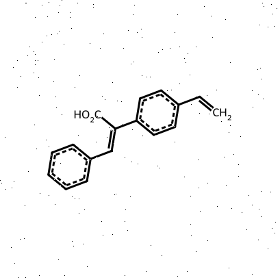 C=Cc1ccc(C(=Cc2ccccc2)C(=O)O)cc1